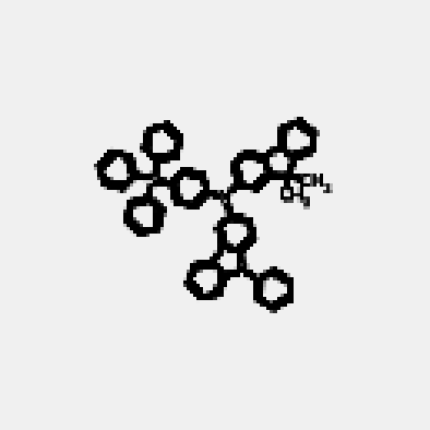 CC1(C)c2ccccc2-c2ccc(N(c3ccc([Si](c4ccccc4)(c4ccccc4)c4ccccc4)cc3)c3ccc4c(c3)c3ccccc3n4-c3ccccc3)cc21